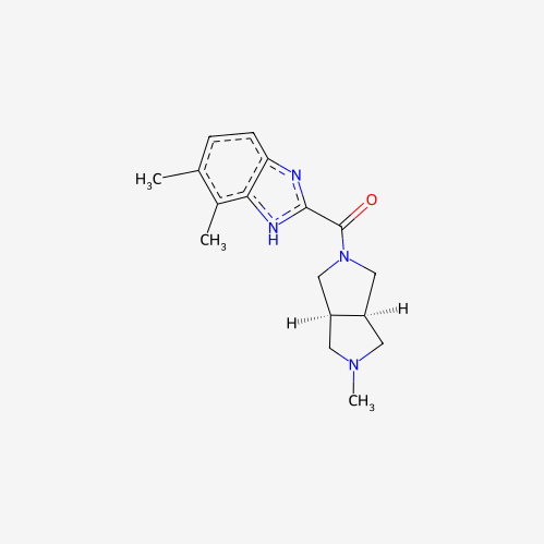 Cc1ccc2nc(C(=O)N3C[C@H]4CN(C)C[C@H]4C3)[nH]c2c1C